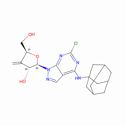 C=C1[C@@H](O)[C@H](n2ncc3c(NC45CC6CC(CC(C6)C4)C5)nc(Cl)nc32)O[C@@H]1CO